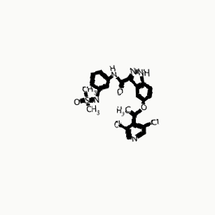 CC(Oc1ccc2[nH]nc(C(=O)Nc3cccc(N=S(C)(C)=O)c3)c2c1)c1c(Cl)cncc1Cl